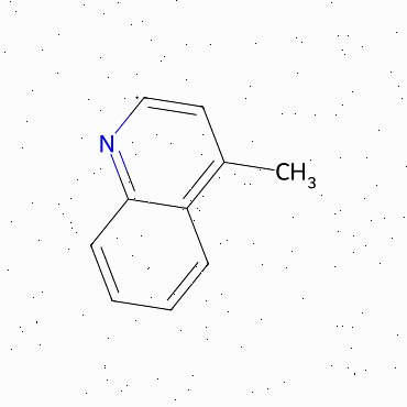 Cc1c[c]nc2ccccc12